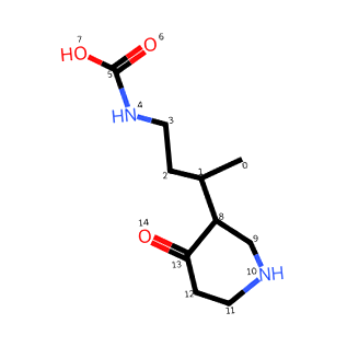 CC(CCNC(=O)O)C1CNCCC1=O